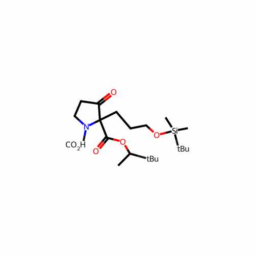 CC(OC(=O)C1(CCCO[Si](C)(C)C(C)(C)C)C(=O)CCN1C(=O)O)C(C)(C)C